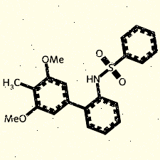 COc1cc(-c2ccccc2NS(=O)(=O)c2ccccc2)cc(OC)c1C